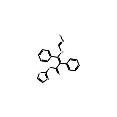 NN=CNC(=C(C(=O)Oc1ncco1)c1ccccc1)c1ccccc1